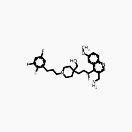 COc1ccc2ncc(CN)c([C@@H](F)CCC3(CO)CCN(CCCc4cc(F)cc(F)c4F)CC3)c2c1